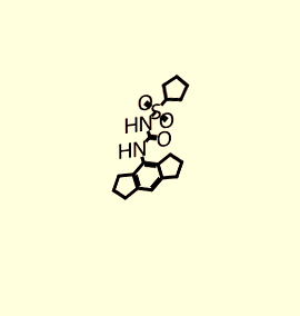 O=C(Nc1c2c(cc3c1CCC3)CCC2)NS(=O)(=O)C1CCCC1